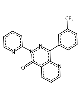 O=c1c2cccnc2c(-c2cccc(C(F)(F)F)c2)nn1-c1ccccn1